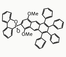 COc1cc(P2(=O)Oc3ccccc3-c3ccccc32)c(OC)c2cc3c(-c4ccccc4)c(-c4ccccc4)c(-c4ccccc4)c(-c4ccccc4)c3cc12